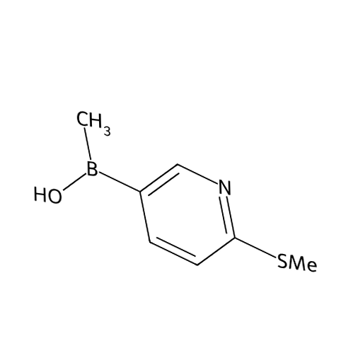 CSc1ccc(B(C)O)cn1